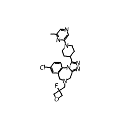 Cc1cncc(N2CCC(c3nnc4n3-c3ccc(Cl)cc3CN(CC3(F)COC3)C4)CC2)n1